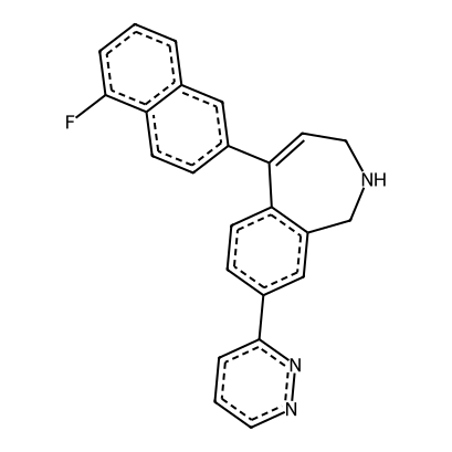 Fc1cccc2cc(C3=CCNCc4cc(-c5cccnn5)ccc43)ccc12